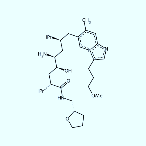 COCCCc1cnc2cc(C)c(C[C@@H](C[C@H](N)[C@@H](O)C[C@H](C(=O)NC[C@@H]3CCCO3)C(C)C)C(C)C)cn12